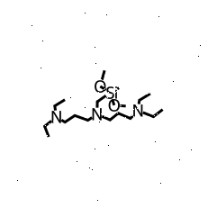 CCN(CC)CCCN(CCCN(CC)CC)C[Si](C)(OC)OC